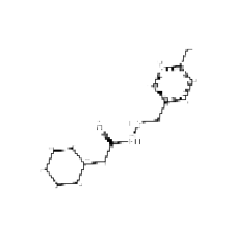 Cc1ccc(CNNC(=O)CC2CCCCC2)cn1